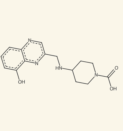 O=C(O)N1CCC(NCc2cnc3cccc(O)c3n2)CC1